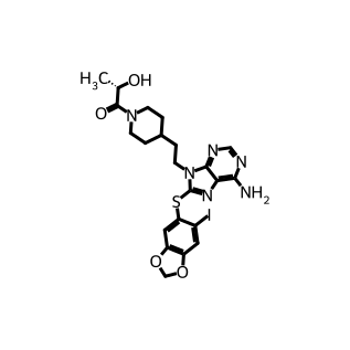 C[C@H](O)C(=O)N1CCC(CCn2c(Sc3cc4c(cc3I)OCO4)nc3c(N)ncnc32)CC1